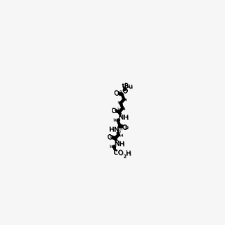 CC(C)(C)OC(=O)CCCC(=O)NCC(=O)NCC(=O)NCC(=O)O